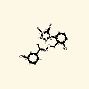 CC(=NOCc1c(Cl)cccc1-n1nnn(C)c1=O)c1cccc(Cl)c1